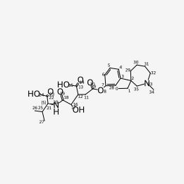 CCC1(c2cccc(OC(=O)CC(C(=O)O)C(O)C(=O)N[C@H](C(=O)O)C(C)C)c2)CCCCN(C)C1